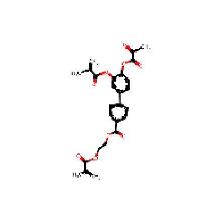 C=C(C)C(=O)OCCOC(=O)c1ccc(-c2ccc(OC(=O)C(C)=O)c(OC(=O)C(=C)C)c2)cc1